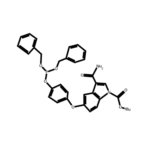 CC(C)(C)OC(=O)n1cc(C(N)=O)c2cc(Oc3ccc(OP(OCc4ccccc4)OCc4ccccc4)cc3)ccc21